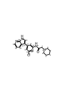 O=C(CN1CCCCC1)Nc1cc(-c2c[nH]c3ncccc23)cc(Cl)n1